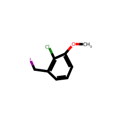 COc1cccc(CI)c1Cl